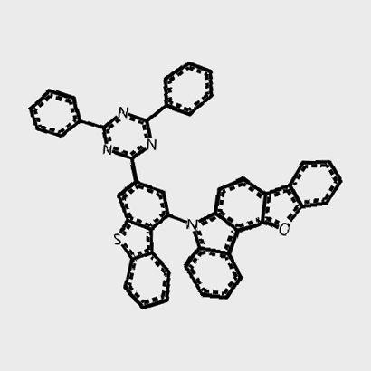 c1ccc(-c2nc(-c3ccccc3)nc(-c3cc(-n4c5ccccc5c5c6oc7ccccc7c6ccc54)c4c(c3)sc3ccccc34)n2)cc1